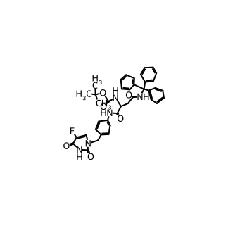 CC(C)(C)OC(=O)NC(CC(=O)NC(c1ccccc1)(c1ccccc1)c1ccccc1)C(=O)Nc1ccc(Cn2cc(F)c(=O)[nH]c2=O)cc1